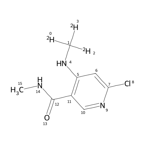 [2H]C([2H])([2H])Nc1cc(Cl)ncc1C(=O)NC